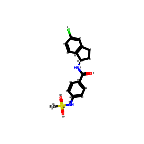 O=C(N[C@H]1CCc2cc(Cl)ccc21)c1ccc(NS(=O)(=O)C(F)(F)F)cc1